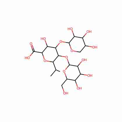 CC(C)C1OC(C(=O)O)C(O)C(OC2OCC(O)C(O)C2O)C1OC1OC(CO)C(O)C(O)C1O